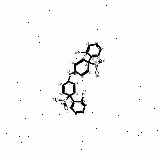 O=[N+]([O-])C1(c2ccccc2F)C=CC(SC2C=CC(c3ccccc3F)([N+](=O)[O-])C=C2)C=C1